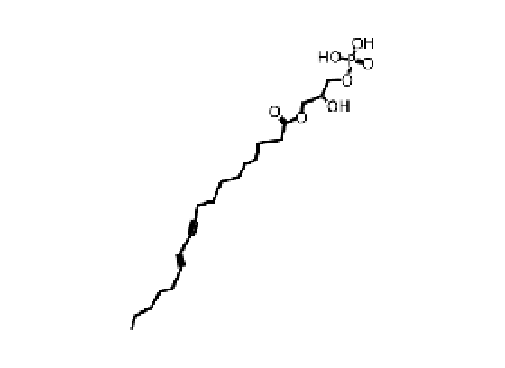 CCCCCC#CC#CCCCCCCCCC(=O)OCC(O)COP(=O)(O)O